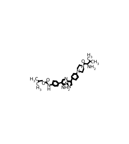 CC(C)COC(=O)Nc1ccc(-c2cnc3c(-c4ccc(N5CCN(C(=O)[C@@H](N)C(C)C)CC5)cc4)cnn3c2N)cc1